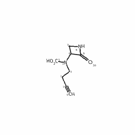 C#CCCN(C(=O)O)C1CNC1=O